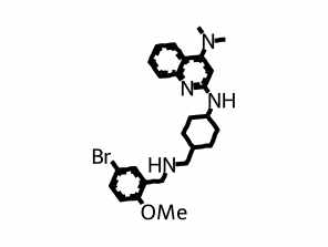 COc1ccc(Br)cc1CNCC1CCC(Nc2cc(N(C)C)c3ccccc3n2)CC1